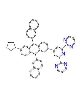 c1cnc(-c2cc(-c3ccc4c(-c5ccc6ccccc6c5)c5cc(C6CCCC6)ccc5c(-c5ccc6ccccc6c5)c4c3)cc(-c3ncccn3)n2)nc1